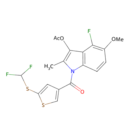 COc1ccc2c(c1F)c(OC(C)=O)c(C)n2C(=O)c1csc(SC(F)F)c1